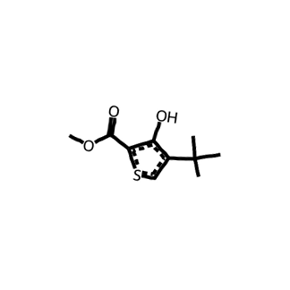 COC(=O)c1scc(C(C)(C)C)c1O